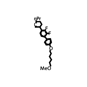 CCCC1CCC(c2ccc(-c3ccc(OCCCCCCOC)cc3)c(F)c2F)CC1